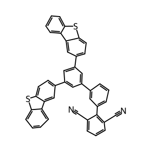 N#Cc1cccc(C#N)c1-c1cccc(-c2cc(-c3ccc4sc5ccccc5c4c3)cc(-c3ccc4sc5ccccc5c4c3)c2)c1